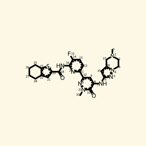 CN1CCn2nc(Nc3cc(-c4ccc(F)c(NC(=O)c5cc6c(s5)CCCC6)n4)nn(C)c3=O)cc2C1